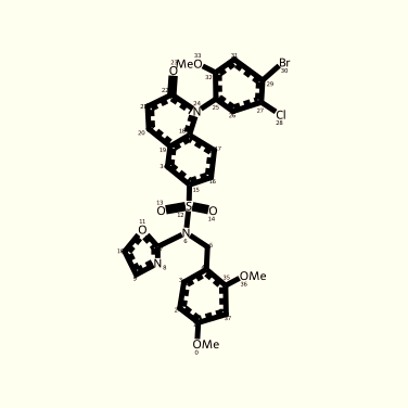 COc1ccc(CN(c2ncco2)S(=O)(=O)c2ccc3c(ccc(=O)n3-c3cc(Cl)c(Br)cc3OC)c2)c(OC)c1